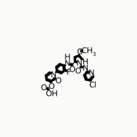 CO[C@@H]1C[C@H](C(=O)Nc2ccc(-n3cccc(OC(=O)O)c3=O)cc2F)N(C(=O)Nc2ccc(Cl)cn2)C1